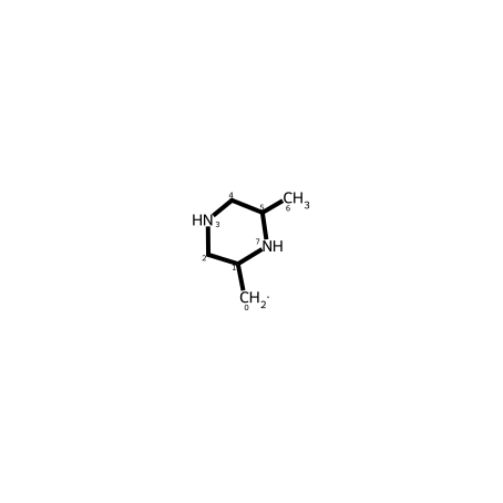 [CH2]C1CNCC(C)N1